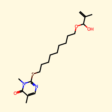 C=C(C)C(O)OCCCCCCCCCSc1ncc(C)c(=O)n1C